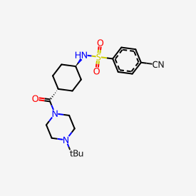 CC(C)(C)N1CCN(C(=O)[C@H]2CC[C@H](NS(=O)(=O)c3ccc(C#N)cc3)CC2)CC1